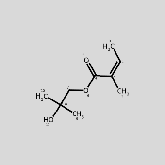 CC=C(C)C(=O)OCC(C)(C)O